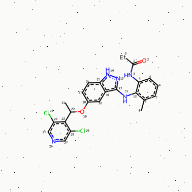 CCC(=O)Nc1cccc(C)c1Nc1n[nH]c2ccc(OC(C)c3c(Cl)cncc3Cl)cc12